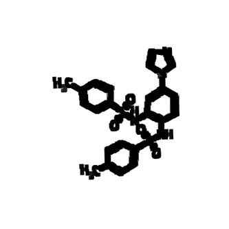 Cc1ccc(S(=O)(=O)Nc2ccc(-n3ccnc3)cc2NS(=O)(=O)c2ccc(C)cc2)cc1